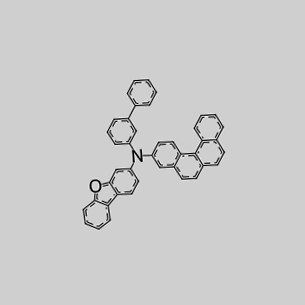 c1ccc(-c2cccc(N(c3ccc4c(ccc5ccc6ccccc6c54)c3)c3ccc4c(c3)oc3ccccc34)c2)cc1